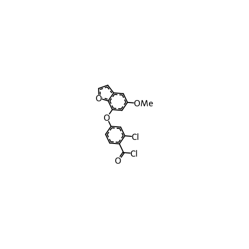 COc1cc(Oc2ccc(C(=O)Cl)c(Cl)c2)c2occc2c1